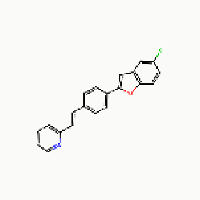 Clc1ccc2oc(-c3ccc(/C=C/c4ccccn4)cc3)cc2c1